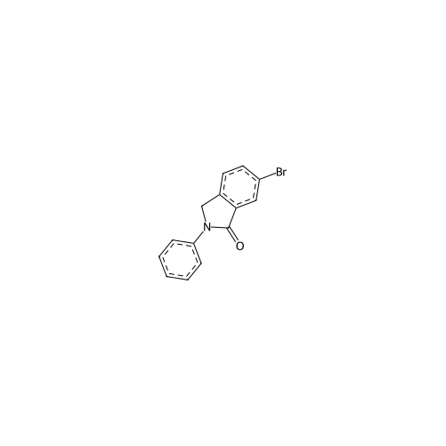 O=C1c2cc(Br)ccc2CN1c1ccccc1